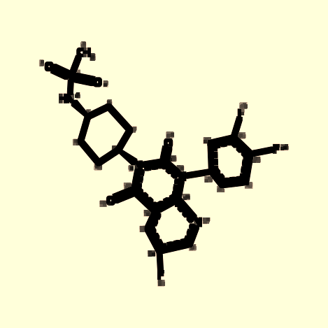 CS(=O)(=O)N[C@H]1CC[C@@H](n2c(=O)c3cc(F)cnc3n(-c3ccc(F)c(F)c3)c2=O)CC1